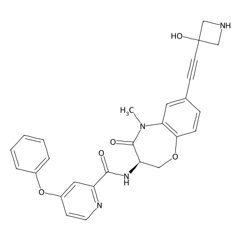 CN1C(=O)[C@H](NC(=O)c2cc(Oc3ccccc3)ccn2)COc2ccc(C#CC3(O)CNC3)cc21